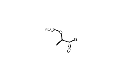 CC[PH](=O)C(C)OS(=O)(=O)O